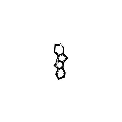 C1=NCc2cc3c4ccccc4cn3c2=C1